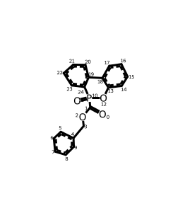 O=C(OCc1ccccc1)P1(=O)Oc2ccccc2-c2ccccc21